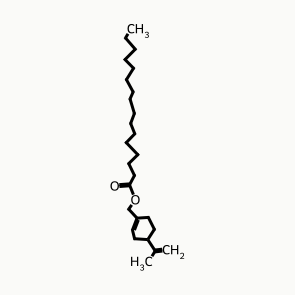 C=C(C)C1CC=C(COC(=O)CCCCCCCCCCCCCCC)CC1